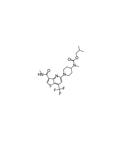 CNC(=O)c1csc2c(C(F)(F)F)cc(N3CCC(N(C)C(=O)OCC(C)C)CC3)nc12